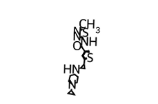 Cc1nnc(NC(=O)c2csc(C3CC3NC3CCN(C4CC4)CC3)c2)s1